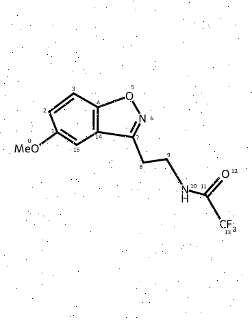 COc1ccc2onc(CCNC(=O)C(F)(F)F)c2c1